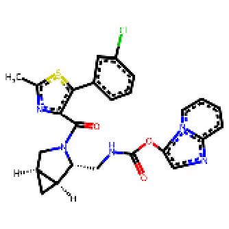 Cc1nc(C(=O)N2C[C@@H]3C[C@@H]3[C@H]2CNC(=O)Oc2cnc3ccccn23)c(-c2cccc(Cl)c2)s1